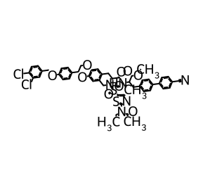 CCN(C(C)=O)c1nc(C)c(S(=O)(=O)N2Cc3cc4c(cc3CC2C(=O)NC(Cc2ccc(-c3ccc(C#N)cc3)cc2)C(=O)OC)OCC(c2ccc(OCc3ccc(Cl)c(Cl)c3)cc2)O4)s1